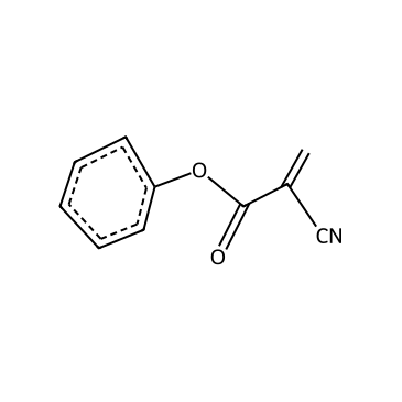 C=C(C#N)C(=O)Oc1ccccc1